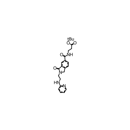 CC(C)(C)OC(=O)CCNC(=O)c1ccc2c(c1)C(=O)N(CCNc1ccccn1)C2